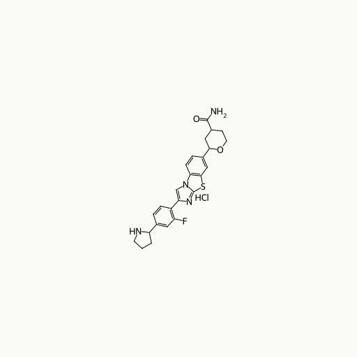 Cl.NC(=O)C1CCOC(c2ccc3c(c2)sc2nc(-c4ccc(C5CCCN5)cc4F)cn23)C1